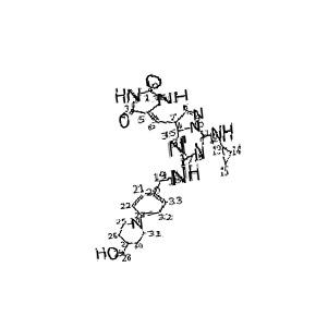 O=C1NC(=O)/C(=C/c2cnn3c(NC4CC4)nc(NCc4ccc(N5CCC(CO)CC5)cc4)nc23)N1